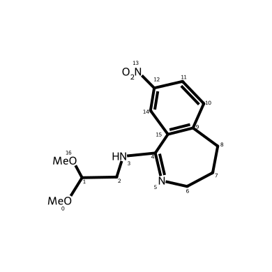 COC(CNC1=NCCCc2ccc([N+](=O)[O-])cc21)OC